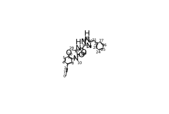 CC#Cc1ccc2c(c1)N(C)C(=O)[C@H](NC(=O)c1n[nH]c(Cc3ccccc3)n1)CO2